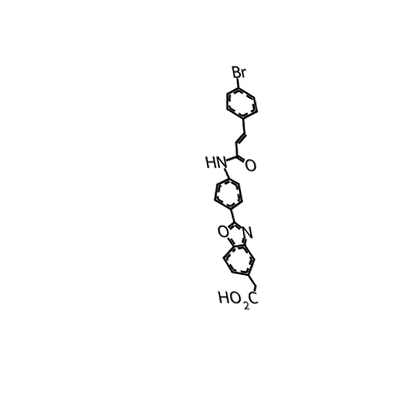 O=C(O)Cc1ccc2oc(-c3ccc(NC(=O)C=Cc4ccc(Br)cc4)cc3)nc2c1